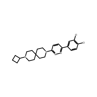 Clc1ccc(-c2ccc(N3CCC4(CC3)CCN(C3CCC3)CC4)nn2)cc1Cl